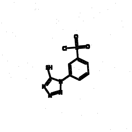 O=S(=O)(Cl)c1cccc(-n2nnnc2S)c1